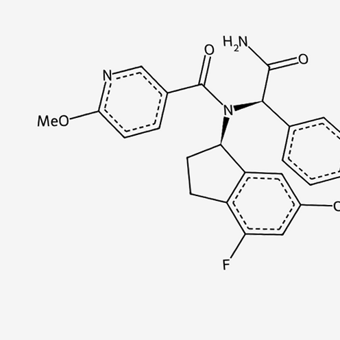 COc1ccc(C(=O)N([C@@H]2CCc3c(F)cc(Cl)cc32)[C@@H](C(N)=O)c2ccccc2)cn1